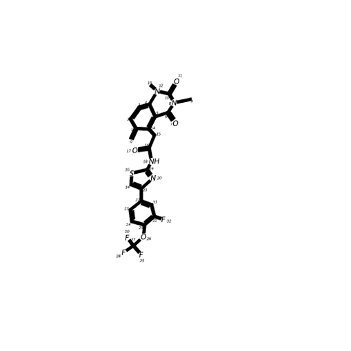 C=C1C=C=c2c(c(=O)n(C)c(=O)n2C)=C1CC(=O)Nc1nc(-c2ccc(OC(F)(F)F)c(F)c2)cs1